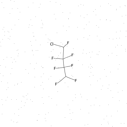 FC(F)C(F)(F)C(F)(F)C(F)Cl